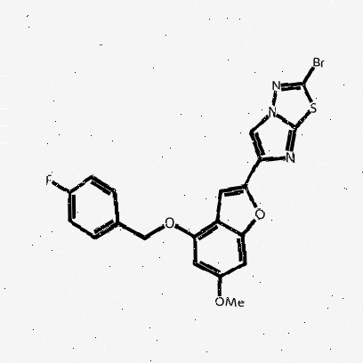 COc1cc(OCc2ccc(F)cc2)c2cc(-c3cn4nc(Br)sc4n3)oc2c1